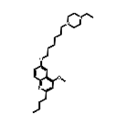 CCCCc1cc(OC)c2cc(OCCCCCCN3CCN(CC)CC3)ccc2n1